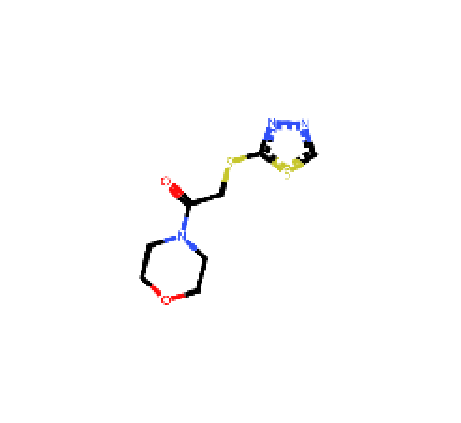 O=C(CSc1nn[c]s1)N1CCOCC1